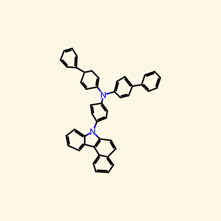 C1=CC(c2ccccc2)CC=C1N(c1ccc(-c2ccccc2)cc1)c1ccc(-n2c3ccccc3c3c4ccccc4ccc32)cc1